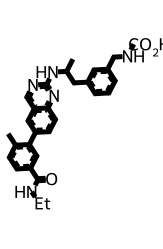 CCNC(=O)c1ccc(C)c(-c2ccc3nc(NC(C)Cc4cccc(CNC(=O)O)c4)ncc3c2)c1